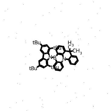 CC(C)(C)c1cc(C(C)(C)C)c2c(c1)c1cc(C(C)(C)C)cc(C(C)(C)C)c1n2B1c2ccccc2N2c3ccccc3C(C)(C)c3cccc1c32